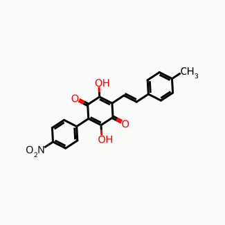 Cc1ccc(C=CC2=C(O)C(=O)C(c3ccc([N+](=O)[O-])cc3)=C(O)C2=O)cc1